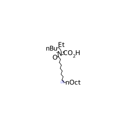 CCCCCCCC/C=C\CCCCCCCC(=O)[N+](C)(CC(=O)O)CC(CC)CCCC